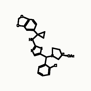 CC(=O)O[C@@H]1CCN(C(c2cnc(NC3(c4ccc5c(c4)OCO5)CC3)s2)c2ccccc2Cl)C1